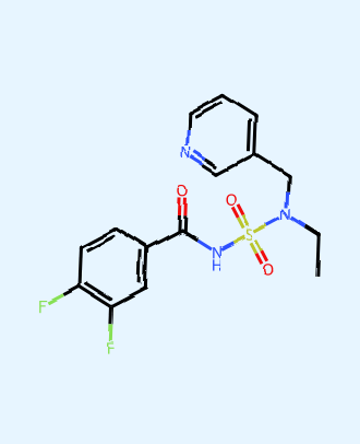 CCN(Cc1cccnc1)S(=O)(=O)NC(=O)c1ccc(F)c(F)c1